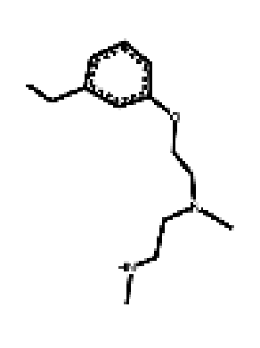 CCc1cccc(OCCN(C)CCNC)c1